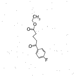 CCOC(=O)CCCC(=O)c1ccc(F)cc1